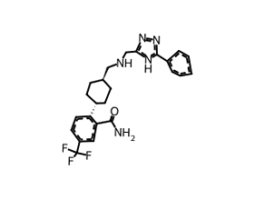 NC(=O)c1cc(C(F)(F)F)ccc1[C@H]1CC[C@H](CNCc2nnc(-c3ccccc3)[nH]2)CC1